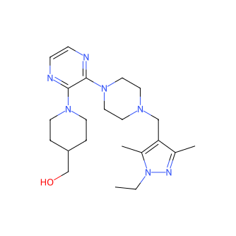 CCn1nc(C)c(CN2CCN(c3nccnc3N3CCC(CO)CC3)CC2)c1C